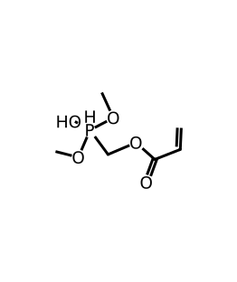 C=CC(=O)OC[PH](O)(OC)OC